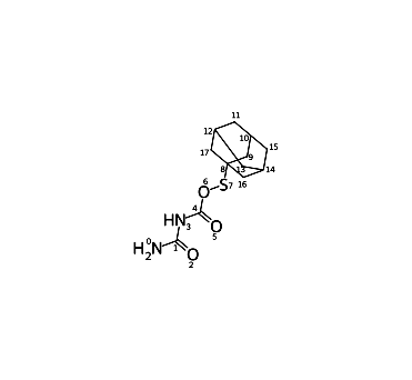 NC(=O)NC(=O)OSC12CC3CC(CC(C3)C1)C2